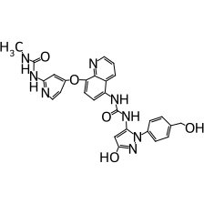 CNC(=O)Nc1cc(Oc2ccc(NC(=O)Nc3cc(O)nn3-c3ccc(CO)cc3)c3cccnc23)ccn1